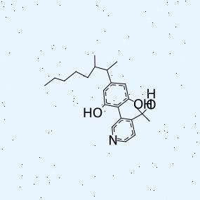 CCCCCC(C)C(C)c1cc(O)c(-c2cnccc2C(C)(C)O)c(O)c1